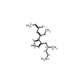 C/C=C(F)\C=C(/CC)c1n[nH]cc1CN(C)CCN